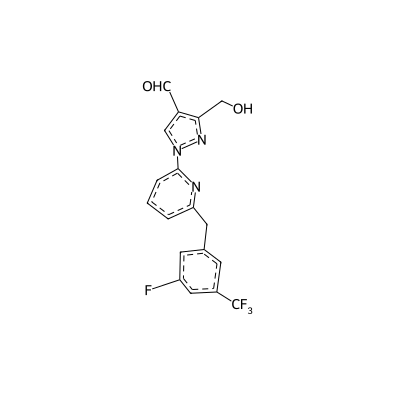 O=Cc1cn(-c2cccc(Cc3cc(F)cc(C(F)(F)F)c3)n2)nc1CO